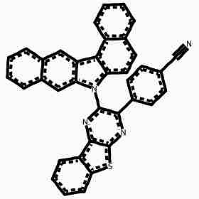 N#Cc1ccc(-c2nc3sc4ccccc4c3nc2-n2c3cc4ccccc4cc3c3c4ccccc4ccc32)cc1